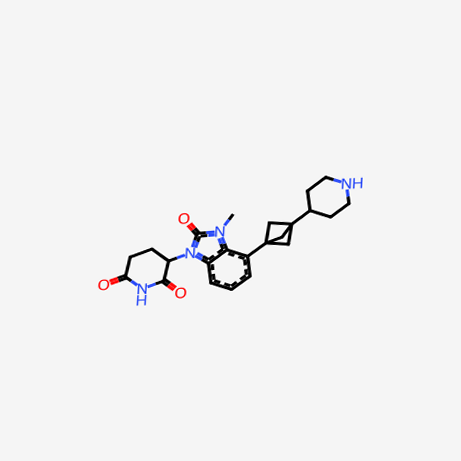 Cn1c(=O)n(C2CCC(=O)NC2=O)c2cccc(C34CC(C5CCNCC5)(C3)C4)c21